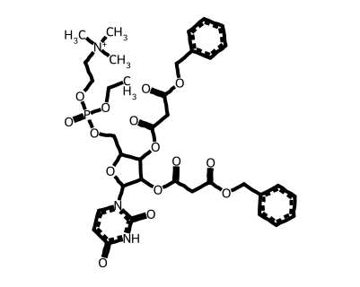 CCOP(=O)(OCC[N+](C)(C)C)OCC1OC(n2ccc(=O)[nH]c2=O)C(OC(=O)CC(=O)OCc2ccccc2)C1OC(=O)CC(=O)OCc1ccccc1